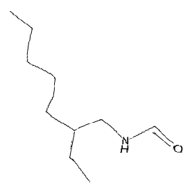 CCCCCC(CC)CNC=O